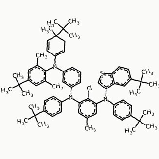 Cc1cc(N(c2ccc(C(C)(C)C)cc2)c2cccc(N(C3=CCC(C)(C(C)(C)C)C=C3)c3c(C)cc(C(C)(C)C)cc3C)c2)c(Cl)c(N(c2ccc(C(C)(C)C)cc2)c2csc3ccc(C(C)(C)C)cc23)c1